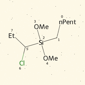 CCCCCC[Si](OC)(OC)C(Cl)CC